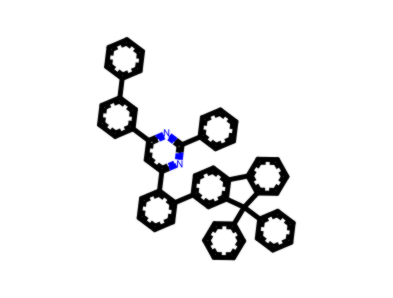 c1ccc(-c2cccc(-c3cc(-c4ccccc4-c4ccc5c(c4)C(c4ccccc4)(c4ccccc4)c4ccccc4-5)nc(-c4ccccc4)n3)c2)cc1